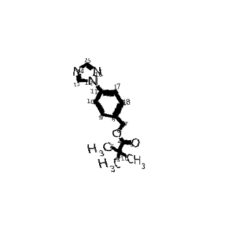 CC(C)(C)C(=O)OCc1ccc(-n2cncn2)cc1